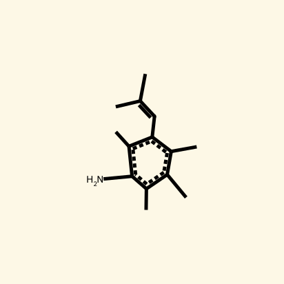 CC(C)=Cc1c(C)c(C)c(C)c(N)c1C